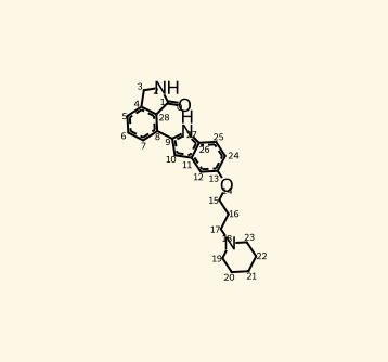 O=C1NCc2cccc(-c3cc4cc(OCCCN5CCCCC5)ccc4[nH]3)c21